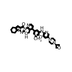 Cn1cc(-c2ccnc(-n3cnn4c5c(cc4c3=O)CCCC5)c2CO)cc(Nc2ccc(N3CCN(C4COC4)CC3)cn2)c1=O